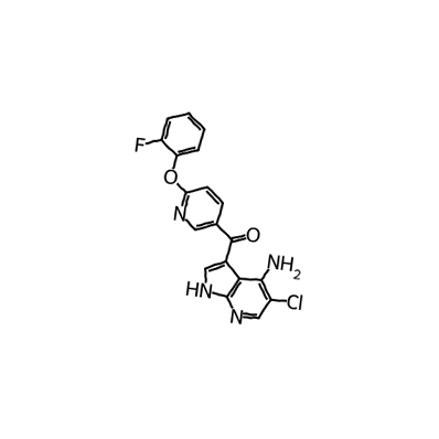 Nc1c(Cl)cnc2[nH]cc(C(=O)c3ccc(Oc4ccccc4F)nc3)c12